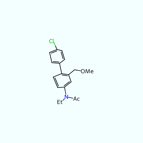 CCN(C(C)=O)c1ccc(-c2ccc(Cl)cc2)c(COC)c1